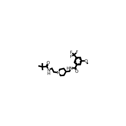 COc1cc(C(=O)NCC2CCN(CCNC(=O)C(C)(C)C)CC2)cc(C(F)(F)F)c1